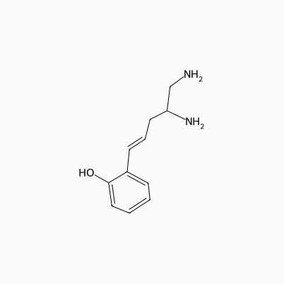 NCC(N)CC=Cc1ccccc1O